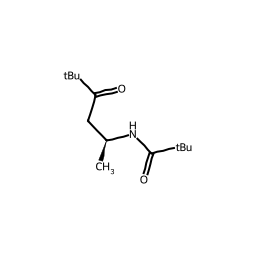 C[C@@H](CC(=O)C(C)(C)C)NC(=O)C(C)(C)C